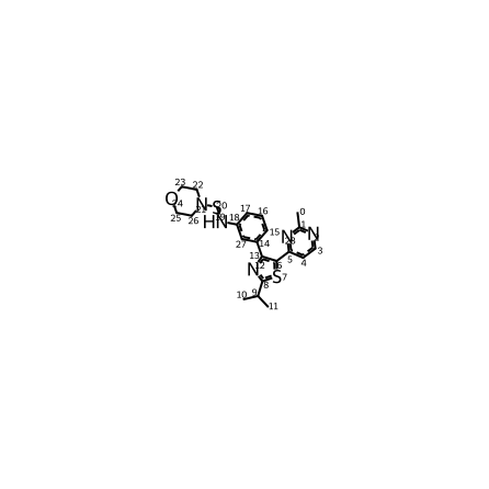 Cc1nccc(-c2sc(C(C)C)nc2-c2cccc(NSN3CCOCC3)c2)n1